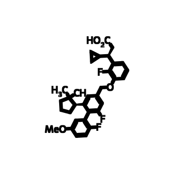 COc1ccc(F)c(-c2c(F)cc(COc3cccc([C@H](CC(=O)O)C4CC4)c3F)cc2[C@H]2CCCC2(C)C)c1